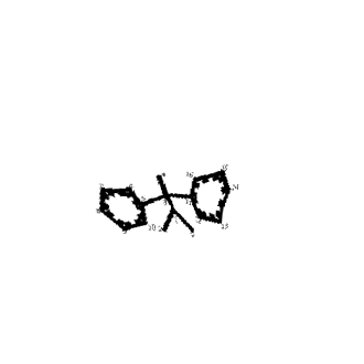 CC(C)C(C)(c1ccccc1)c1ccccc1